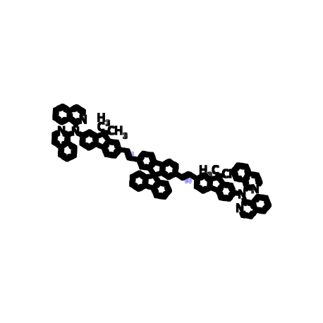 CC1(C)c2cc(/C=C/c3ccc4c(c3)C3(c5ccccc5-c5ccccc53)c3cc(/C=C/c5ccc6c(c5)C(C)(C)c5cc(N(c7nccc8ccccc78)c7nccc8ccccc78)ccc5-6)ccc3-4)ccc2-c2ccc(N(c3nccc4ccccc34)c3nccc4ccccc34)cc21